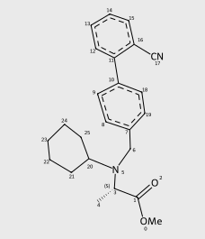 COC(=O)[C@H](C)N(Cc1ccc(-c2ccccc2C#N)cc1)C1CCCCC1